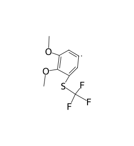 COc1c[c]cc(SC(F)(F)F)c1OC